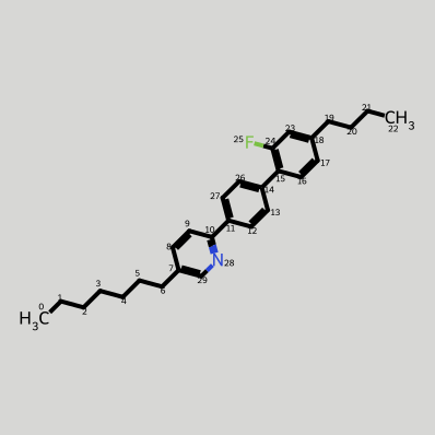 CCCCCCCc1ccc(-c2ccc(-c3ccc(CCCC)cc3F)cc2)nc1